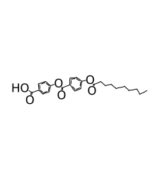 CCCCCCCCCC(=O)Oc1ccc(C(=O)Oc2ccc(C(=O)O)cc2)cc1